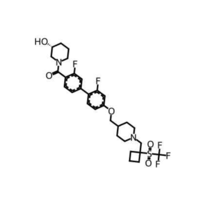 O=C(c1ccc(-c2ccc(OCC3CCN(CC4(S(=O)(=O)C(F)(F)F)CCC4)CC3)cc2F)cc1F)N1CCC[C@@H](O)C1